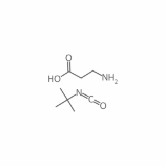 CC(C)(C)N=C=O.NCCC(=O)O